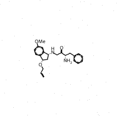 C=CCO[C@H]1C[C@@H](NCC(=O)[C@@H](N)Cc2ccccc2)c2cc(OC)ccc21